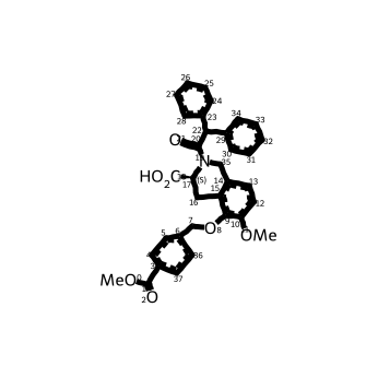 COC(=O)c1ccc(COc2c(OC)ccc3c2C[C@@H](C(=O)O)N(C(=O)C(c2ccccc2)c2ccccc2)C3)cc1